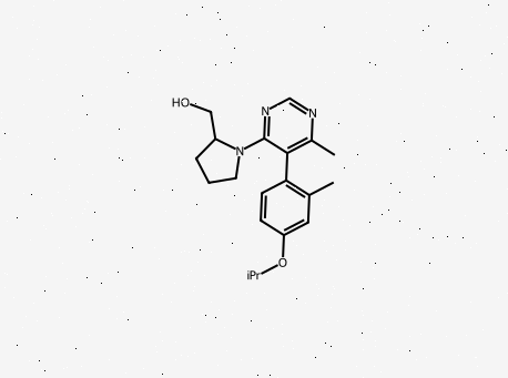 Cc1cc(OC(C)C)ccc1-c1c(C)ncnc1N1CCCC1CO